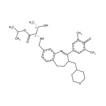 Cc1cc(C2=Nc3cc(CN[C@H](C(=O)OC(C)C)[C@H](C)O)ccc3CCC2CC2CCOCC2)cn(C)c1=O